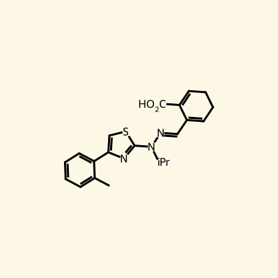 Cc1ccccc1-c1csc(N(/N=C/C2=CCCC=C2C(=O)O)C(C)C)n1